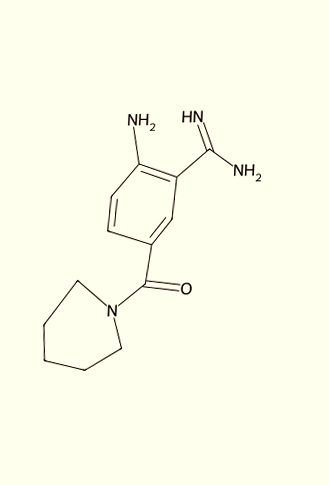 N=C(N)c1cc(C(=O)N2CCCCC2)ccc1N